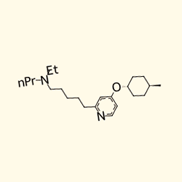 CCCN(CC)CCCCCc1cc(O[C@H]2CC[C@H](C)CC2)ccn1